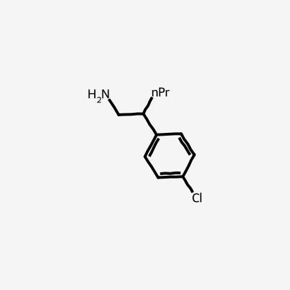 CCCC(CN)c1ccc(Cl)cc1